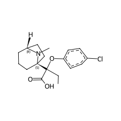 CCC(Oc1ccc(Cl)cc1)(C(=O)O)[C@]12CCC[C@H](CC1)N2C